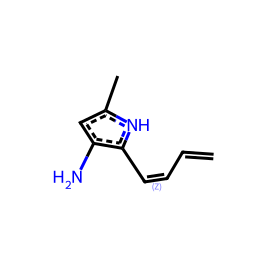 C=C/C=C\c1[nH]c(C)cc1N